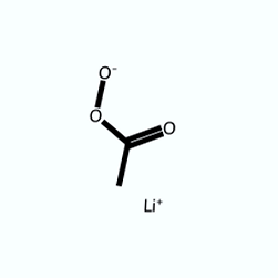 CC(=O)O[O-].[Li+]